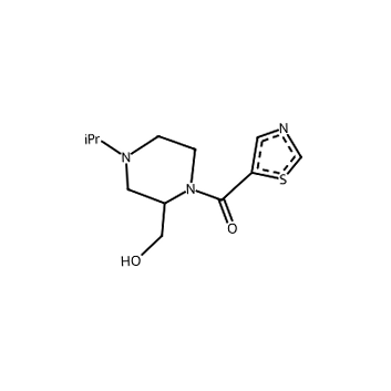 CC(C)N1CCN(C(=O)c2cncs2)C(CO)C1